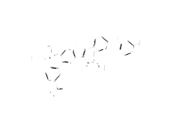 CCN(OC)c1cc2oc(-c3ccc(Oc4cccc(F)c4)cc3)c(C(=O)NC)c2cc1-c1cccc(C(N)=O)c1